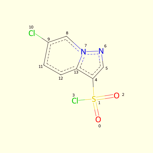 O=S(=O)(Cl)c1cnn2cc(Cl)ccc12